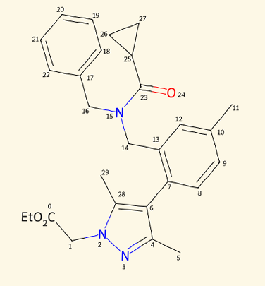 CCOC(=O)Cn1nc(C)c(-c2ccc(C)cc2CN(Cc2ccccc2)C(=O)C2CC2)c1C